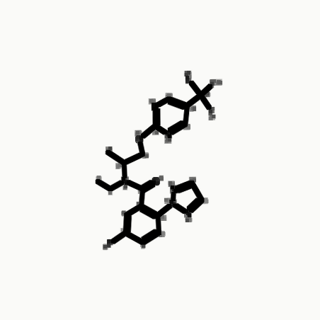 CCN(C(=O)c1cc(F)ccc1-n1nccn1)C(C)COc1ncc(C(F)(F)F)cn1